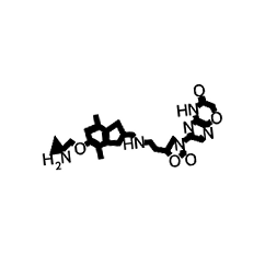 Cc1cc(OCC2(N)CC2)c(C)c2c1CC(CNCCC1CN(c3cnc4c(n3)NC(=O)CO4)C(=O)O1)C2